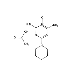 CC(=O)O.Nc1cc(N2CCCCC2)nc(N)[n+]1[O-]